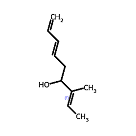 C=CC=CCC(O)/C(C)=C/C